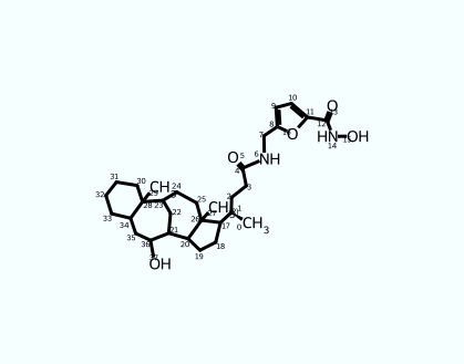 C[C@H](CCC(=O)NCc1ccc(C(=O)NO)o1)C1CCC2C3CC(CCC21C)C1(C)CCCCC1CC3O